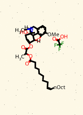 CCCCCCCC/C=C\CCCCCCCC(=O)OC(C)C(=O)OC1=CC[C@@]2(O)[C@H]3Cc4ccc(OC)c5c4[C@@]2(CCN3C)[C@H]1O5.O=C(O)C(F)(F)F